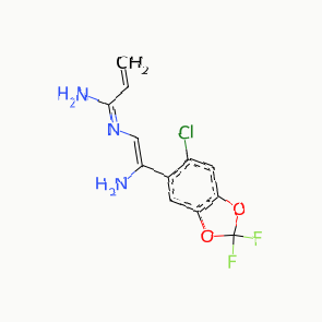 C=C/C(N)=N\C=C(/N)c1cc2c(cc1Cl)OC(F)(F)O2